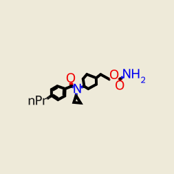 CCCc1ccc(C(=O)N(C2CCC(CCOC(N)=O)CC2)C2CC2)cc1